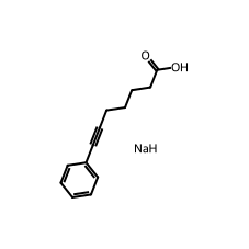 O=C(O)CCCCC#Cc1ccccc1.[NaH]